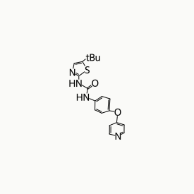 CC(C)(C)c1cnc(NC(=O)Nc2ccc(Oc3ccncc3)cc2)s1